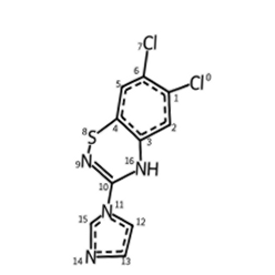 Clc1cc2c(cc1Cl)SN=C(n1ccnc1)N2